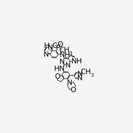 Cn1cc(-c2cc(Nc3nc(Nc4ccc5nccnc5c4P(C)(C)=O)c4cc[nH]c4n3)c3c(c2N2CCOCC2)CCO3)cn1